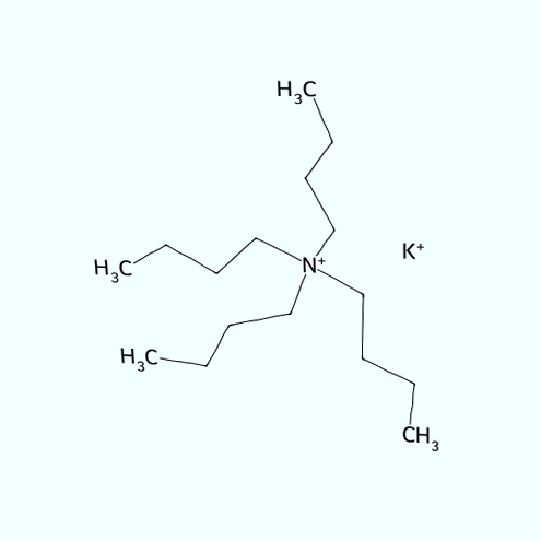 CCCC[N+](CCCC)(CCCC)CCCC.[K+]